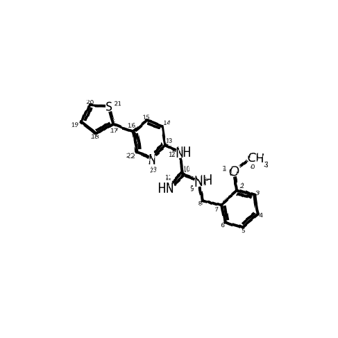 COc1ccccc1CNC(=N)Nc1ccc(-c2cccs2)cn1